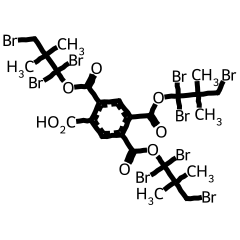 CC(C)(CBr)C(Br)(Br)OC(=O)c1cc(C(=O)OC(Br)(Br)C(C)(C)CBr)c(C(=O)OC(Br)(Br)C(C)(C)CBr)cc1C(=O)O